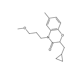 COCCCN1C(=O)C(CC2CC2)Oc2ccc(C)cc21